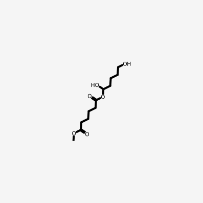 COC(=O)CCCCC(=O)OC(O)CCCCO